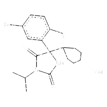 CC(C)N1C(=O)NC2(C1=O)c1cc(Br)ccc1C[C@]21CC[C@@H](O)CC1